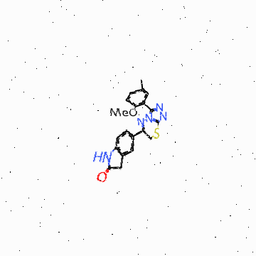 COc1ccc(C)cc1-c1nnc2n1N=C(c1ccc3c(c1)CC(=O)N3)CS2